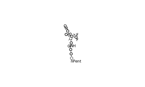 CCCCCC1CCC(c2ccc(-c3ccc(C(=O)Nc4ccc(C5=Cc6c(c7c(c8c6-c6cc(F)cc(F)c6C8(C)C)C=CC(c6ccccc6)(c6ccc(N8CCOCC8)cc6)O7)CC5C)cc4)cc3)cc2)CC1